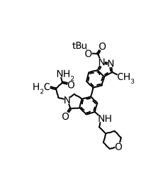 C=C(CN1Cc2c(cc(NCC3CCOCC3)cc2-c2ccc3c(c2)c(C)nn3C(=O)OC(C)(C)C)C1=O)C(N)=O